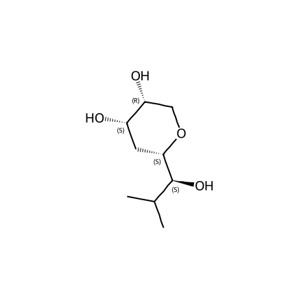 CC(C)[C@H](O)[C@@H]1C[C@H](O)[C@H](O)CO1